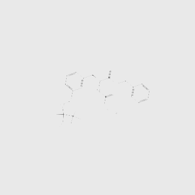 CC(C)(C)OC(=O)N[C@@H](Cc1cccc(B2OC(C)(C)C(C)(C)O2)c1)C(=O)OCc1ccccc1